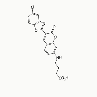 O=C(O)CCCNc1ccc2cc(-c3nc4cc(Cl)ccc4o3)c(=O)oc2c1